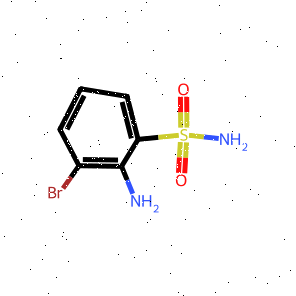 Nc1c(Br)cccc1S(N)(=O)=O